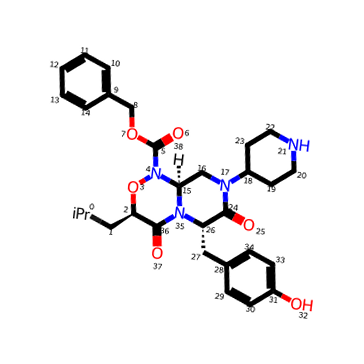 CC(C)C[C@H]1ON(C(=O)OCc2ccccc2)[C@H]2CN(C3CCNCC3)C(=O)[C@H](Cc3ccc(O)cc3)N2C1=O